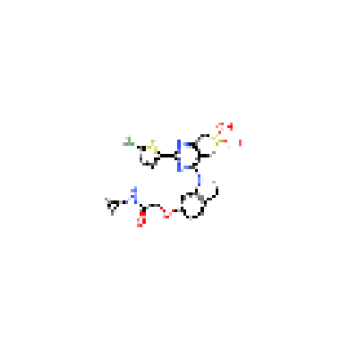 O=C(COc1ccc2c(c1)N(c1nc(-c3ccc(Cl)s3)nc3c1CS(O)(O)C3)CC2)NC1CC1